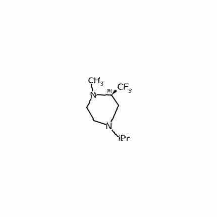 CC(C)N1CCN(C)[C@@H](C(F)(F)F)C1